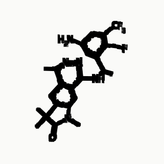 Cc1nnc(NC(C)c2cc(N)cc(C(F)(F)F)c2F)c2cc3c(cc12)C(C)(C)C(=O)N3C